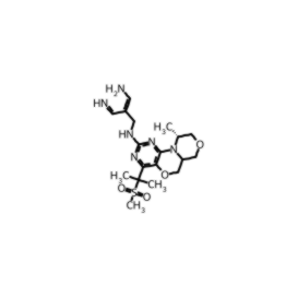 C[C@@H]1COCC2COc3c(nc(NC/C(C=N)=C/N)nc3C(C)(C)S(C)(=O)=O)N21